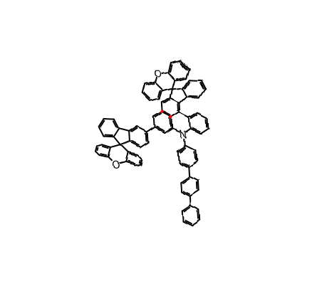 c1ccc(-c2ccc(-c3ccc(N(c4cccc(-c5ccc6c(c5)-c5ccccc5C65c6ccccc6Oc6ccccc65)c4)c4ccccc4-c4cccc5c4-c4ccccc4C54c5ccccc5Oc5ccccc54)cc3)cc2)cc1